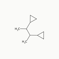 C[C](C1CC1)C(C)C1CC1